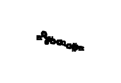 CCc1cnc(N2CCC(COc3ccc(C4=CCC(C(=O)NCc5ccccc5CC)CC4)cc3)CC2)nc1